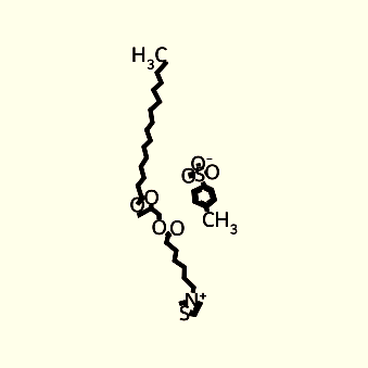 CCCCCCCCCCCCCCCC1OCC(COC(=O)CCCCCC[n+]2ccsc2)O1.Cc1ccc(S(=O)(=O)[O-])cc1